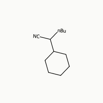 CCCCC(C#N)C1CCCCC1